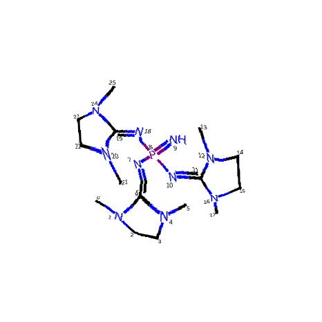 CN1CCN(C)C1=NP(=N)(N=C1N(C)CCN1C)N=C1N(C)CCN1C